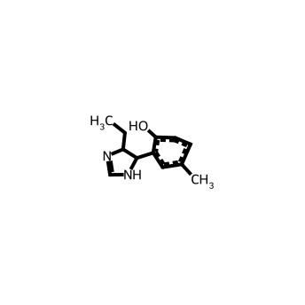 CCC1N=CNC1c1cc(C)ccc1O